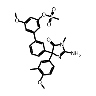 COc1cc(OS(C)(=O)=O)cc(-c2cccc(C3(c4ccc(OC)c(C)c4)N=C(N)N(C)C3=O)c2)c1